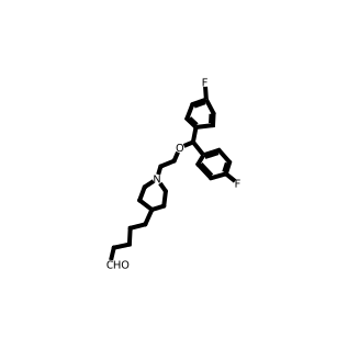 O=CCCCCC1CCN(CCOC(c2ccc(F)cc2)c2ccc(F)cc2)CC1